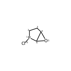 ClP1CCC2OC21